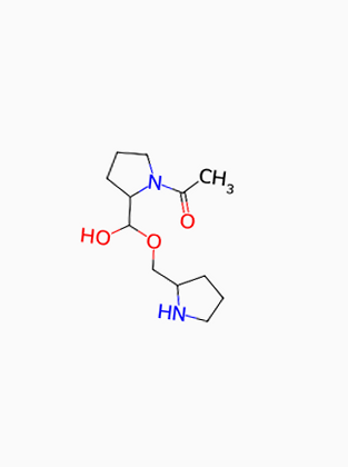 CC(=O)N1CCCC1C(O)OCC1CCCN1